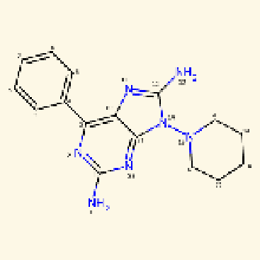 Nc1nc(-c2ccccc2)c2nc(N)n(N3CCCCC3)c2n1